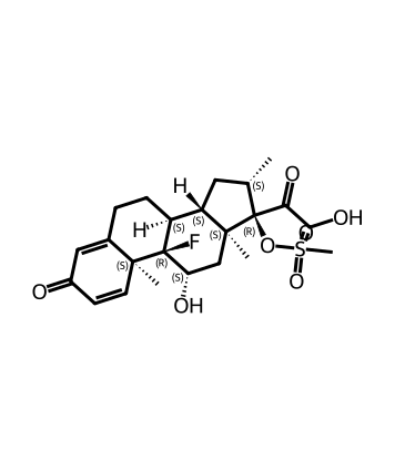 C[C@H]1C[C@H]2[C@@H]3CCC4=CC(=O)C=C[C@]4(C)[C@@]3(F)[C@@H](O)C[C@]2(C)[C@@]1(OS(C)(=O)=O)C(=O)CO